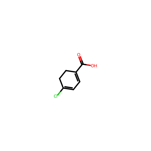 O=C(O)C1=CC=C(Cl)CC1